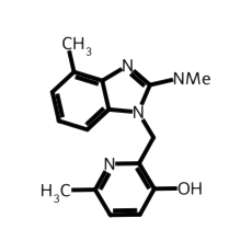 CNc1nc2c(C)cccc2n1Cc1nc(C)ccc1O